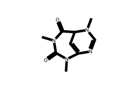 CN1C(=O)C2C=C(N=CN2C)N(C)C1=O